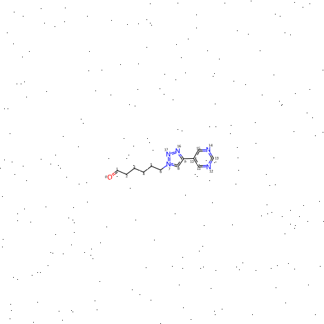 O=CCCCCCn1cc(-c2cncnc2)nn1